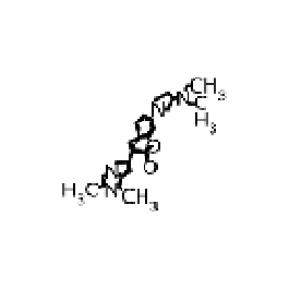 CCN(CC)C1CCN(c2ccc3cc(-c4cc5c(C)nc(C)cn5c4)c(=O)oc3c2)C1